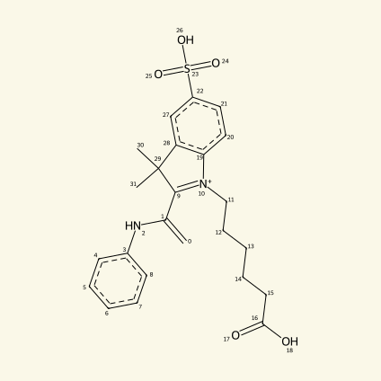 C=C(Nc1ccccc1)C1=[N+](CCCCCC(=O)O)c2ccc(S(=O)(=O)O)cc2C1(C)C